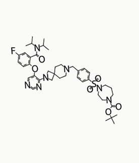 CC(C)N(C(=O)c1cc(F)ccc1Oc1cncnc1N1CC2(CCN(Cc3ccc(S(=O)(=O)N4CCCN(C(=O)OC(C)(C)C)CC4)cc3)CC2)C1)C(C)C